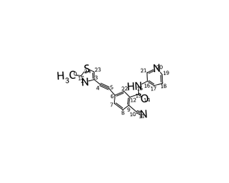 Cc1nc(C#Cc2ccc(C#N)c(C(=O)Nc3cccnc3)c2)cs1